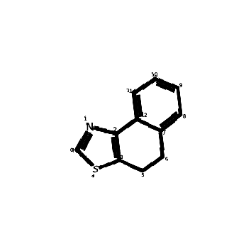 [c]1nc2c(s1)CCc1ccccc1-2